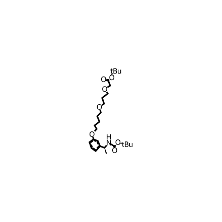 C[C@H](NC(=O)OC(C)(C)C)c1cccc(OCCCCCOCCCOCC(=O)OC(C)(C)C)c1